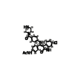 CC(=O)Nc1ccc(C(Nc2ccc(C(=O)N3CCNCC3)cc2)=C2C(=O)Nc3cc(Cl)ccc32)cc1